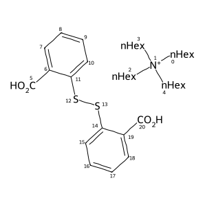 CCCCCC[N+](CCCCCC)(CCCCCC)CCCCCC.O=C(O)c1ccccc1SSc1ccccc1C(=O)O